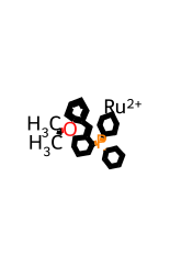 CC(C)Oc1ccccc1C=C1CCCCC1P(C1CCCCC1)C1CCCCC1.[Ru+2]